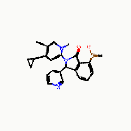 CC1CN(C)C(N2C(=O)c3c(cccc3[S+](C)[O-])C2c2cccnc2)=CC1C1CC1